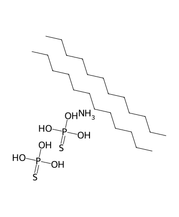 CCCCCCCCCCCC.CCCCCCCCCCCC.N.OP(O)(O)=S.OP(O)(O)=S